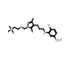 Cc1nn(COCC[Si](C)(C)C)c(C)c1CCCOc1cc(C(=O)O)ccc1F